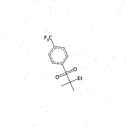 CCC(C)(C)S(=O)(=O)c1ccc(C(F)(F)F)cc1